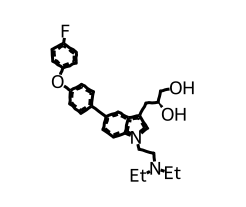 CCN(CC)CCn1cc(C[C@H](O)CO)c2cc(-c3ccc(Oc4ccc(F)cc4)cc3)ccc21